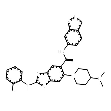 CN(C)C1CCN(c2cc3[nH]c(Nc4ccccc4C(F)(F)F)nc3cc2C(=O)Nc2ccc3cn[nH]c3c2)CC1